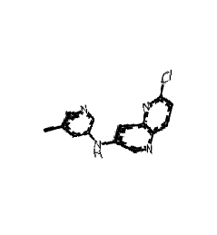 Cc1cncc(Nc2cnc3ccc(Cl)nc3c2)c1